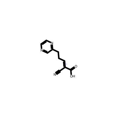 N#C/C(=C\CCc1cnccn1)C(=O)O